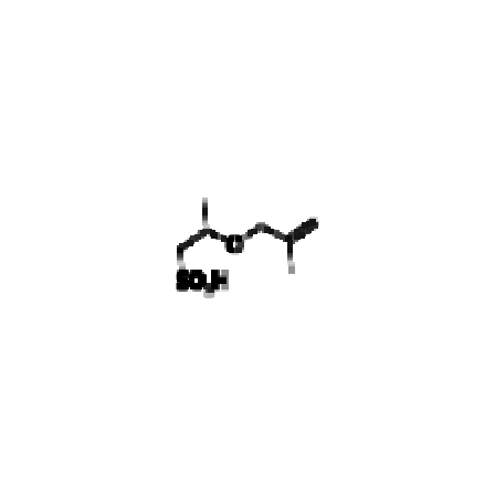 C=C(C)COC(C)CS(=O)(=O)O